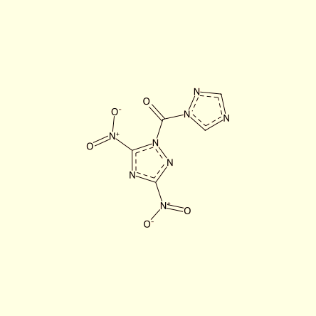 O=C(n1cncn1)n1nc([N+](=O)[O-])nc1[N+](=O)[O-]